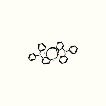 c1ccc(P(c2ccccc2)c2cccc3c2OC2CCCC(C3)Oc3c(cccc3P(c3ccccc3)c3ccccc3)C2)cc1